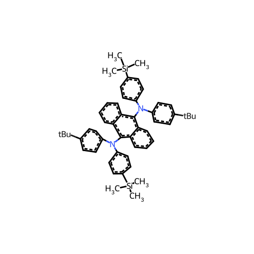 CC(C)(C)c1ccc(N(c2ccc([Si](C)(C)C)cc2)c2c3ccccc3c(N(c3ccc(C(C)(C)C)cc3)c3ccc([Si](C)(C)C)cc3)c3ccccc23)cc1